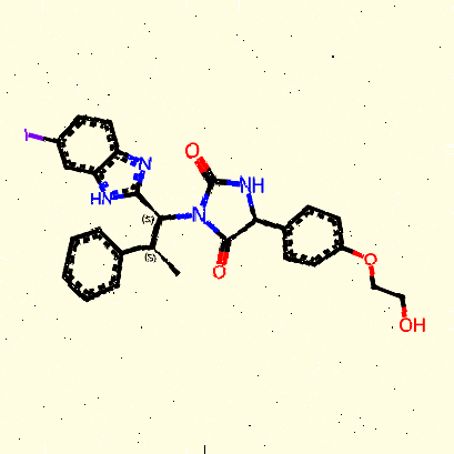 C[C@@H](c1ccccc1)[C@@H](c1nc2ccc(I)cc2[nH]1)N1C(=O)NC(c2ccc(OCCO)cc2)C1=O